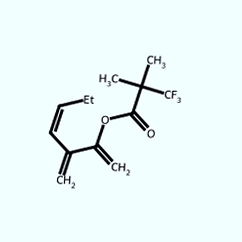 C=C(/C=C\CC)C(=C)OC(=O)C(C)(C)C(F)(F)F